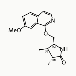 COc1ccc2ccnc(OC[C@H]3NC(=O)[C@H](C)[C@H]3C)c2c1